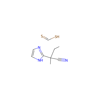 CCC(C)(C#N)c1ncc[nH]1.S=CS